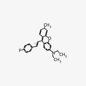 CCN(CC)c1ccc2c(c1)OC1=CC(C)C=CC1=C2/C=C/c1ccc(F)cc1